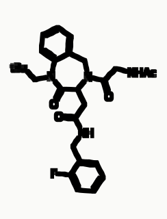 CC(=O)NCC(=O)N1Cc2ccccc2N(CC(C)(C)C)C(=O)C1CC(=O)NCc1ccccc1F